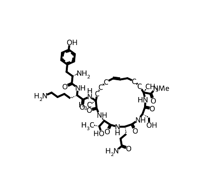 CNC(=O)[C@]1(C)CCC/C=C/CCC[C@](C)(NC(=O)[C@H](CCCCN)NC(=O)[C@@H](N)Cc2ccc(O)cc2)C(=O)N[C@@H]([C@@H](C)O)C(=O)N[C@@H](CCC(N)=O)C(=O)N[C@@H](CO)C(=O)N1